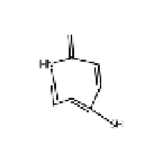 C=C1\C=C/C(S)=C/C=C/N1